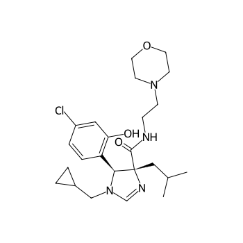 CC(C)C[C@@]1(C(=O)NCCN2CCOCC2)N=CN(CC2CC2)[C@H]1c1ccc(Cl)cc1O